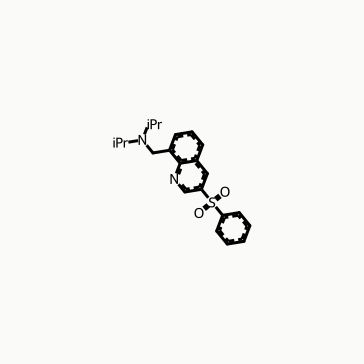 CC(C)N(Cc1cccc2cc(S(=O)(=O)c3ccccc3)cnc12)C(C)C